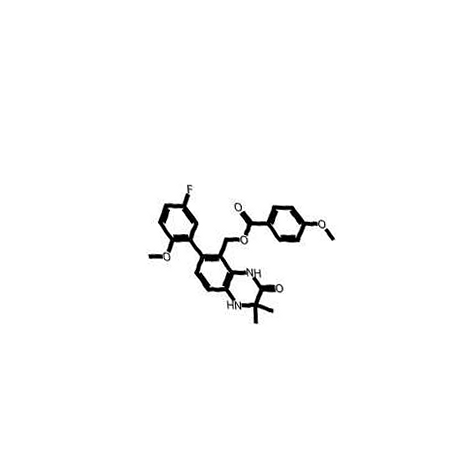 COc1ccc(C(=O)OCc2c(-c3cc(F)ccc3OC)ccc3c2NC(=O)C(C)(C)N3)cc1